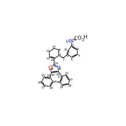 O=C(O)Nc1cccc(C[C@@H]2CCCC=C2c2nc(-c3ccccc3)c(-c3ccccc3)o2)c1